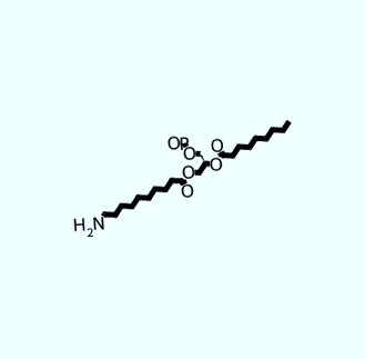 CCCCCCCCC(=O)O[C@@H](COP=O)COC(=O)CCCCCCCCCN